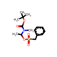 CC(OS(=O)(=O)Cc1ccccc1)N(C)C(=O)OC(C)(C)C